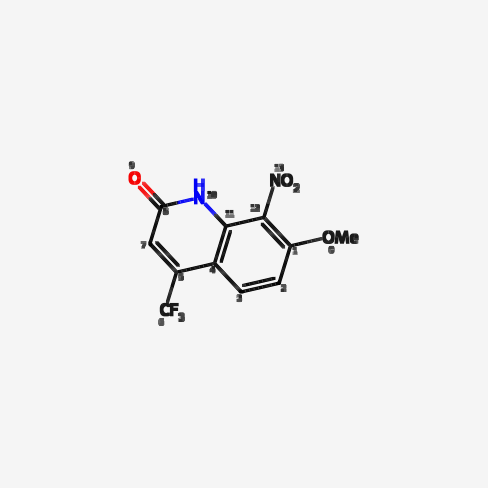 COc1ccc2c(C(F)(F)F)cc(=O)[nH]c2c1[N+](=O)[O-]